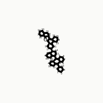 c1ccc(-c2c3ccccc3c(-c3ccc(-c4ccc5c(c4)c4ccccc4c4c6ccc7ccccc7c6oc54)c4ccccc34)c3ccccc23)cc1